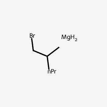 CCCC(C)CBr.[MgH2]